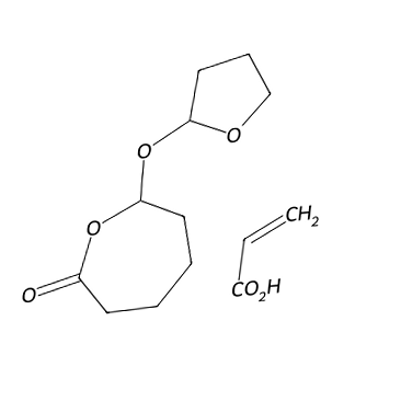 C=CC(=O)O.O=C1CCCCC(OC2CCCO2)O1